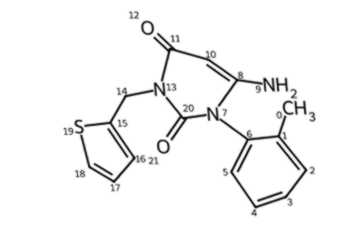 Cc1ccccc1-n1c(N)cc(=O)n(Cc2cccs2)c1=O